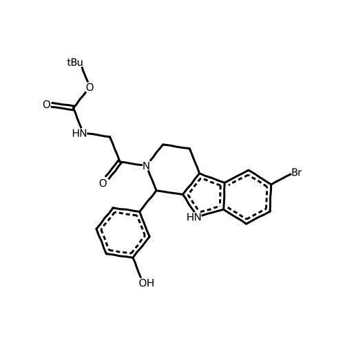 CC(C)(C)OC(=O)NCC(=O)N1CCc2c([nH]c3ccc(Br)cc23)C1c1cccc(O)c1